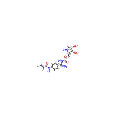 C/C=C(\C)C(=O)Nc1ccc(C(=N)NC(=O)OC[C@H]2NC[C@H](O)[C@@H]2O)cc1